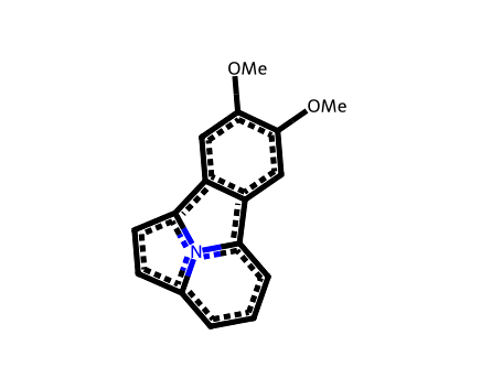 COc1cc2c(cc1OC)c1ccc3cccc2n31